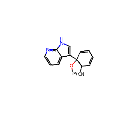 CC(C)OC1(c2c[nH]c3ncccc23)C=CC=CC1C#N